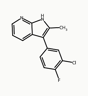 Cc1[nH]c2ncccc2c1-c1ccc(F)c(Cl)c1